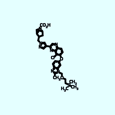 Cc1nc2ccc(Oc3ccc4ncc(-c5cnn(CC6CC7CC6CN7C(=O)O)c5)nc4c3Cl)cc2n1COCC[Si](C)(C)C